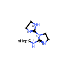 CCCCCCCNC1=NCCN1C1=NCCN1